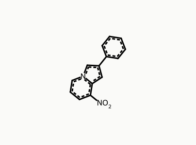 O=[N+]([O-])c1cccn2cc(-c3ccccc3)cc12